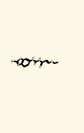 CCO/C=C/C(=O)NC(=O)Nc1ccc2nc(Br)sc2c1